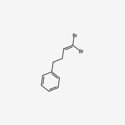 BrC(Br)=CCCc1ccccc1